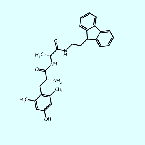 Cc1cc(O)cc(C)c1C[C@@H](N)C(=O)N[C@H](C)C(=O)NCCC1c2ccccc2-c2ccccc21